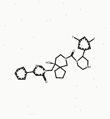 O=C(N1CC[C@@](O)(Cn2cnc(-c3ccccc3)cc2=O)C2(CCCC2)C1)N1CCNCC1c1cc(F)cc(F)c1